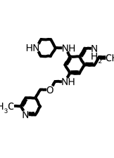 C=C/C=c1/cc(NCOCC2C=C(C)N=CC2)cc(NC2CCNCC2)/c1=C/N